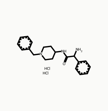 Cl.Cl.NC(C(=O)NC1CCN(Cc2ccccc2)CC1)c1ccccc1